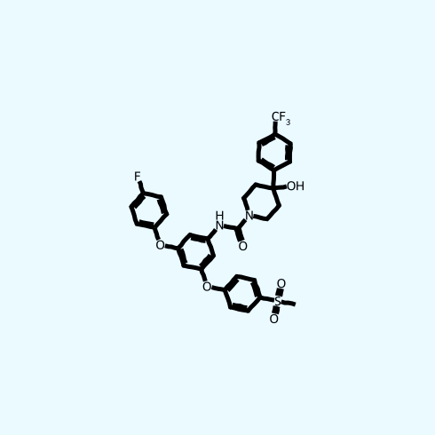 CS(=O)(=O)c1ccc(Oc2cc(NC(=O)N3CCC(O)(c4ccc(C(F)(F)F)cc4)CC3)cc(Oc3ccc(F)cc3)c2)cc1